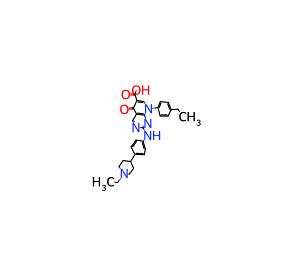 CCc1ccc(-n2cc(C(=O)O)c(=O)c3cnc(Nc4ccc(C5CCN(CC)CC5)cc4)nc32)cc1